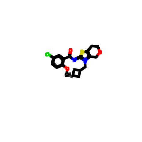 COc1ccc(Cl)cc1C(=O)/N=c1\sc2c(n1CC1CCC1)COCC2